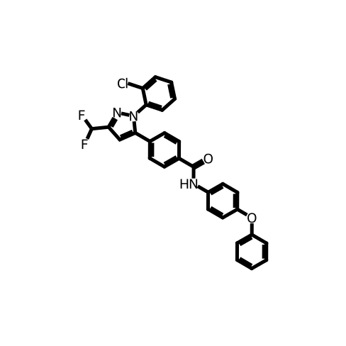 O=C(Nc1ccc(Oc2ccccc2)cc1)c1ccc(-c2cc(C(F)F)nn2-c2ccccc2Cl)cc1